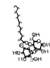 CCCCCCCCCCCC(=O)O[C@H]1[C@H](O[C@H]2[C@H](O)[C@@H](O)[C@H](O)O[C@@H]2CO)O[C@H](CO)[C@H](O)[C@@H]1O